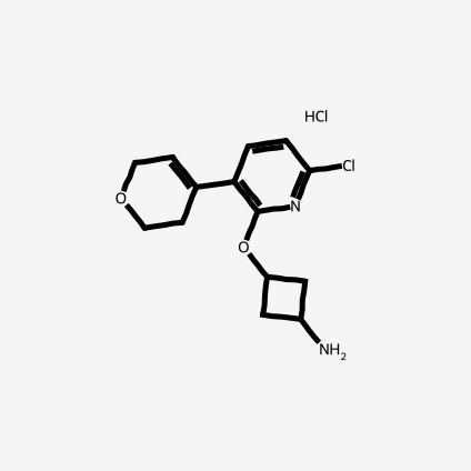 Cl.NC1CC(Oc2nc(Cl)ccc2C2=CCOCC2)C1